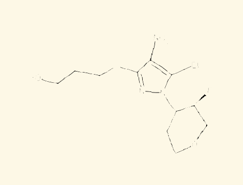 CCc1c([N+](=O)[O-])c(OCCCO)nn1C1CCOC[C@@H]1F